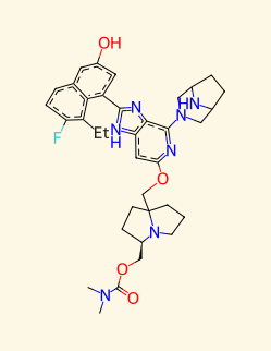 CCc1c(F)ccc2cc(O)cc(-c3nc4c(N5CC6CCC(C5)N6)nc(OCC56CCCN5[C@@H](COC(=O)N(C)C)CC6)cc4[nH]3)c12